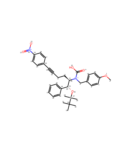 COc1ccc(CN(C(=O)O)[C@H](CCC#Cc2ccc([N+](=O)[O-])cc2)[C@H](O[Si](C)(C)C(C)(C)C)c2ccccc2)cc1